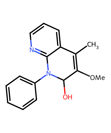 COC1=C(C)c2cccnc2N(c2ccccc2)C1O